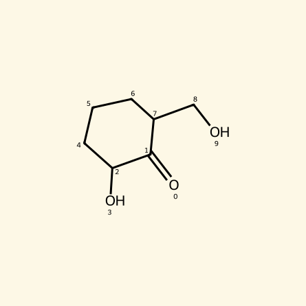 O=C1C(O)CCCC1CO